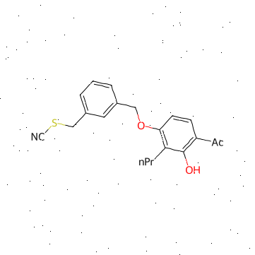 CCCc1c(OCc2cccc(CSC#N)c2)ccc(C(C)=O)c1O